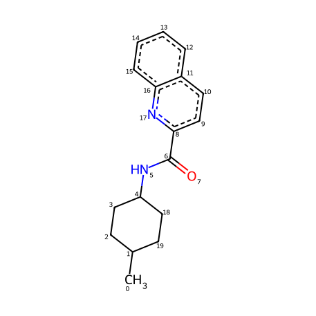 CC1CCC(NC(=O)c2ccc3ccccc3n2)CC1